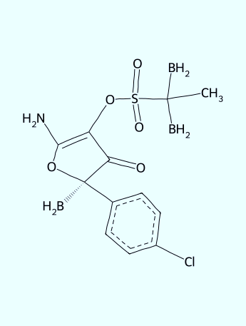 BC(B)(C)S(=O)(=O)OC1=C(N)O[C@](B)(c2ccc(Cl)cc2)C1=O